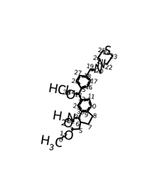 CCOC(=O)CC1CCc2ccc(C(=O)c3ccc(C=NN4CCSCC4)cc3)cc2C1N.Cl